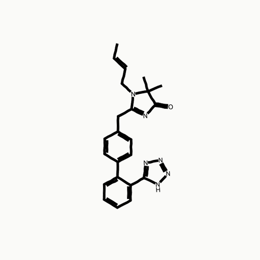 CC=CCN1C(Cc2ccc(-c3ccccc3-c3nnn[nH]3)cc2)=NC(=O)C1(C)C